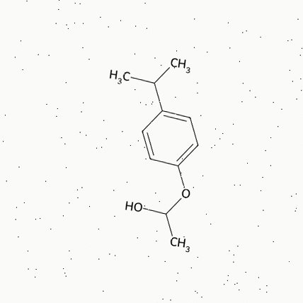 CC(O)Oc1ccc(C(C)C)cc1